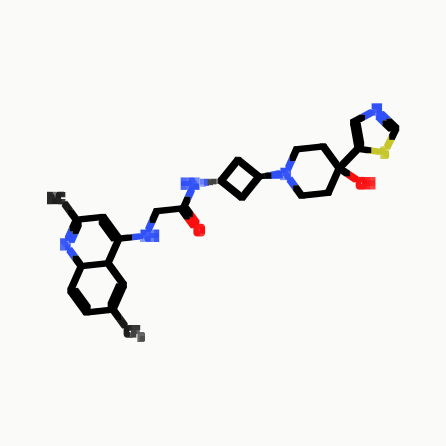 N#CC1=NC2C=CC(C(F)(F)F)=CC2C(NCC(=O)N[C@H]2C[C@H](N3CCC(O)(c4cncs4)CC3)C2)=C1